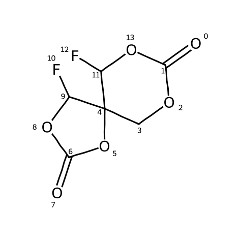 O=C1OCC2(OC(=O)OC2F)C(F)O1